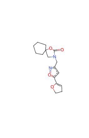 O=C1OC2(CCCCC2)CN1Cc1cc(C2=CCCO2)on1